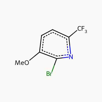 COc1ccc(C(F)(F)F)nc1Br